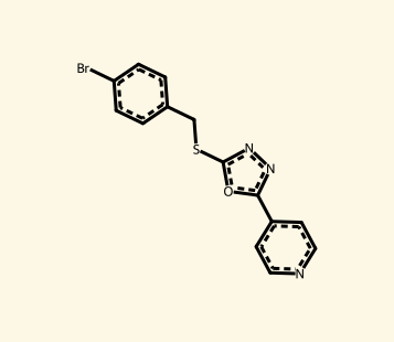 Brc1ccc(CSc2nnc(-c3ccncc3)o2)cc1